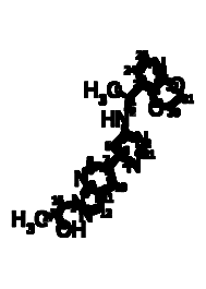 C[C@H](CNc1cc(-c2cnc3c(cnn3C[C@@H](C)O)c2)ncn1)c1ccnc2c1OCCO2